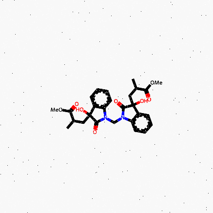 COC(=O)C(C)CC1(O)C(=O)N(CN2C(=O)C(O)(CC(C)C(=O)OC)c3ccccc32)c2ccccc21